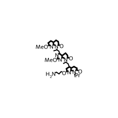 COc1ccc2ccc(=O)n(C(C)Cc3nc(OC)nc4c3ccc(=O)n4C(C)Cc3cc(OCCCN)nc4c3ccc(=O)n4C(C)C)c2n1